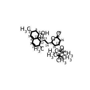 C[C@@H]1C=CC2=C[C@H](C)C[C@H](O)[C@@H]2[C@H]1CC[C@@H]1C[C@@H](O[Si](C)(C)C(C)(C)C)CC(=O)O1